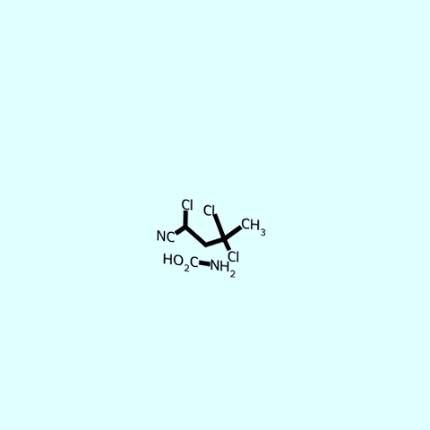 CC(Cl)(Cl)CC(Cl)C#N.NC(=O)O